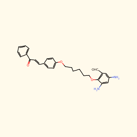 Nc1cc(N)c(OCCCCCCOc2ccc(C=CC(=O)c3ccccc3)cc2)c([C]=O)c1